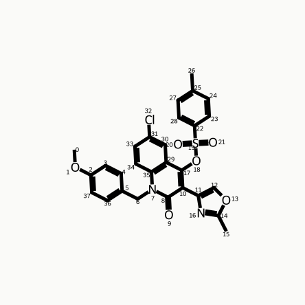 COc1ccc(Cn2c(=O)c(-c3coc(C)n3)c(OS(=O)(=O)c3ccc(C)cc3)c3cc(Cl)ccc32)cc1